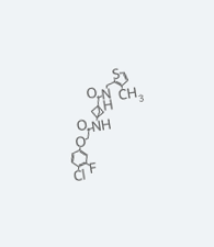 Cc1ccsc1CNC(=O)C12CC(NC(=O)COc3ccc(Cl)c(F)c3)(C1)C2